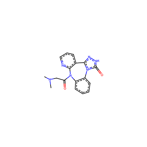 CN(C)CC(=O)N1c2ccccc2-n2c(n[nH]c2=O)-c2cccnc21